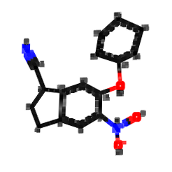 N#CC1CCc2cc([N+](=O)[O-])c(Oc3ccccc3)cc21